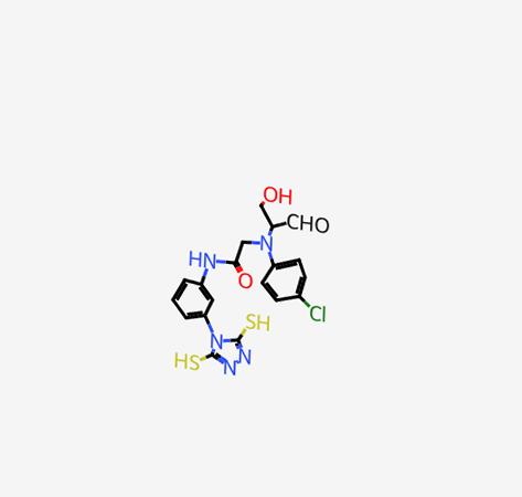 O=CC(CO)N(CC(=O)Nc1cccc(-n2c(S)nnc2S)c1)c1ccc(Cl)cc1